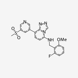 COc1cccc(F)c1CNc1ccc(-c2cncc(S(C)(=O)=O)c2)c2nncn12